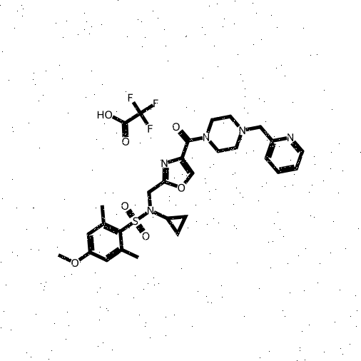 COc1cc(C)c(S(=O)(=O)N(Cc2nc(C(=O)N3CCN(Cc4ccccn4)CC3)co2)C2CC2)c(C)c1.O=C(O)C(F)(F)F